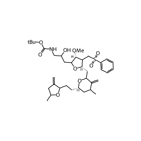 C=C1CC(C)OC1CC[C@H]1CC(C)C(=C)C(C[C@@H]2OC(CC(O)CNC(=O)OC(C)(C)C)[C@H](OC)C2CS(=O)(=O)c2ccccc2)O1